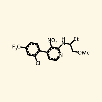 CCC(COC)Nc1nccc(-c2ccc(C(F)(F)F)cc2Cl)c1[N+](=O)[O-]